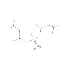 CC(C)CC(C)OP(S)(OC(C)CC(C)C)=S(=S)=S